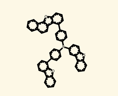 c1ccc2c(c1)ccc1c2oc2cccc(-c3ccc(N(c4ccc(-c5cccc6c5oc5ccccc56)cc4)c4ccc5sc6ccccc6c5c4)cc3)c21